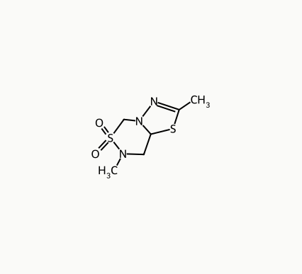 CC1=NN2CS(=O)(=O)N(C)CC2S1